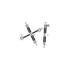 N=C=S.O=S(=O)(Cl)Cl